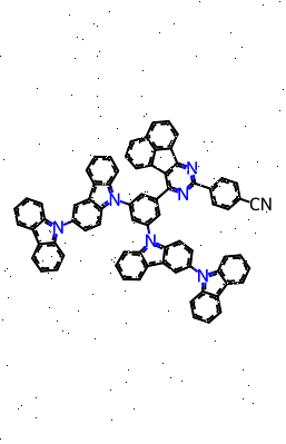 N#Cc1ccc(-c2nc(-c3cc(-n4c5ccccc5c5cc(-n6c7ccccc7c7ccccc76)ccc54)cc(-n4c5ccccc5c5cc(-n6c7ccccc7c7ccccc76)ccc54)c3)c3c(n2)-c2cccc4cccc-3c24)cc1